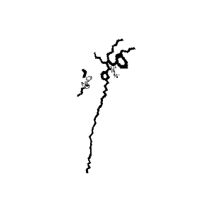 CCCCCCCCCCCCCCCCCCCCCCCc1cccc(C2=C(CCCC)C(CCCCCC)=C(c3cccc(CCCC)c3)[N+]2=[N-])c1.CCC[O][Ni][O]CCC